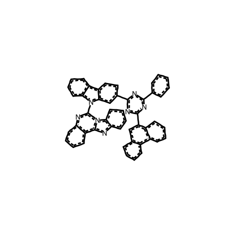 c1ccc(-c2nc(-c3ccc4c5ccccc5n(-c5nc6ccccc6c6nc7ccccc7n56)c4c3)nc(-c3cc4ccccc4c4ccccc34)n2)cc1